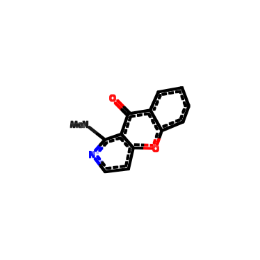 CNc1nccc2oc3ccccc3c(=O)c12